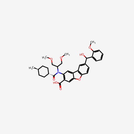 COCC(COC)N(c1cc2c(cc1C(=O)O)oc1ccc(C(O)c3ccccc3OC)cc12)C(=O)[C@H]1CC[C@H](C)CC1